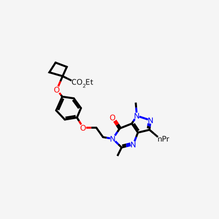 CCCc1nn(C)c2c(=O)n(CCOc3ccc(OC4(C(=O)OCC)CCC4)cc3)c(C)nc12